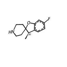 C[C@@H]1c2ccc(F)cc2OC12CCNCC2